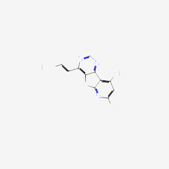 C/C=C/c1ncnc2c1sc1nc(C)cc(C)c12